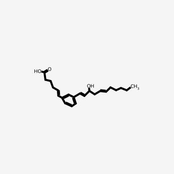 CCCCC/C=C/CC(O)/C=C/c1cccc(/C=C/CCCC(=O)O)c1